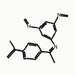 C=Nc1cc(N=C)cc(N=C(C)c2ccc(C(=C)C)cc2)c1